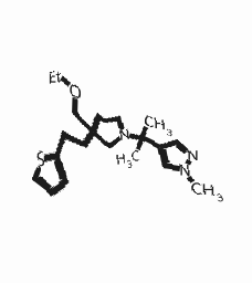 CCOCC1(CCc2cccs2)CCN(C(C)(C)c2cnn(C)c2)C1